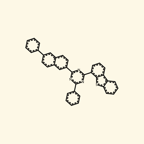 c1ccc(-c2ccc3cc(-c4nc(-c5ccccc5)nc(-c5cccc6c5sc5ccccc56)n4)ccc3c2)cc1